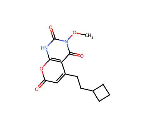 COn1c(=O)[nH]c2oc(=O)cc(CCC3CCC3)c2c1=O